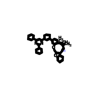 C=C1/C=C\c2c(oc3ccccc23)COc2cc(-c3cccc(-c4cc(-c5ccccc5)nc(-c5ccccc5)n4)c3)ccc2C1(C)C